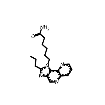 CCCc1nc2cnc3cccnc3c2n1CCCCCC(N)=O